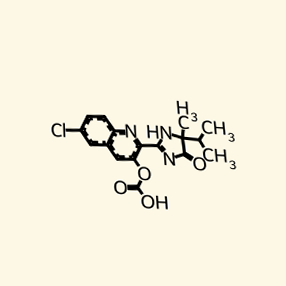 CC(C)C1(C)NC(c2nc3ccc(Cl)cc3cc2OC(=O)O)=NC1=O